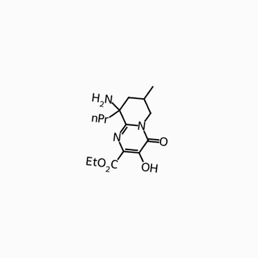 CCCC1(N)CC(C)Cn2c1nc(C(=O)OCC)c(O)c2=O